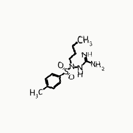 CCCCN(NC(=N)N)S(=O)(=O)c1ccc(C)cc1